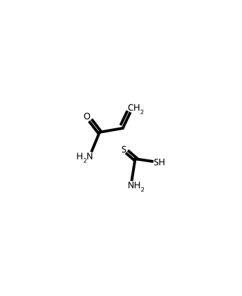 C=CC(N)=O.NC(=S)S